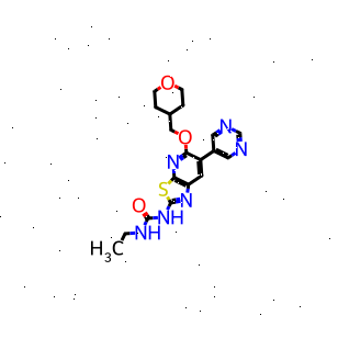 CCNC(=O)Nc1nc2cc(-c3cncnc3)c(OCC3CCOCC3)nc2s1